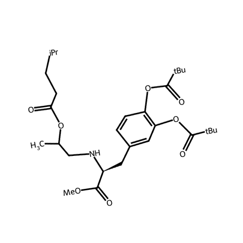 COC(=O)[C@H](Cc1ccc(OC(=O)C(C)(C)C)c(OC(=O)C(C)(C)C)c1)NCC(C)OC(=O)CCC(C)C